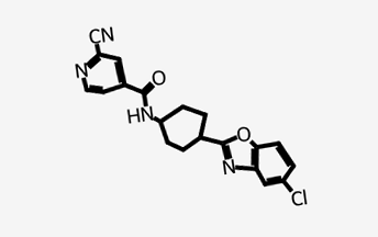 N#Cc1cc(C(=O)NC2CCC(c3nc4cc(Cl)ccc4o3)CC2)ccn1